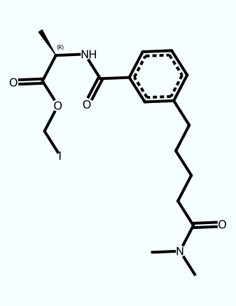 C[C@@H](NC(=O)c1cccc(CCCCC(=O)N(C)C)c1)C(=O)OCI